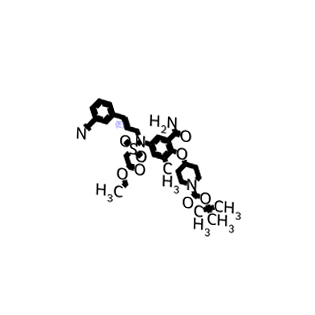 CCOC(=O)CS(=O)(=O)N(C/C=C/c1cccc(C#N)c1)c1cc(C)c(OC2CCN(C(=O)OC(C)(C)C)CC2)c(C(N)=O)c1